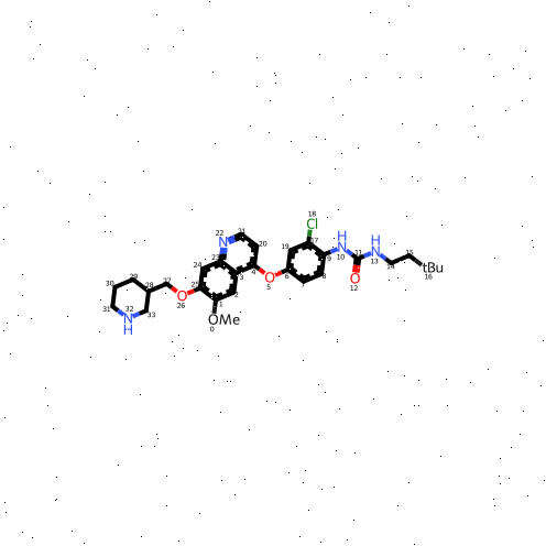 COc1cc2c(Oc3ccc(NC(=O)NCCC(C)(C)C)c(Cl)c3)ccnc2cc1OCC1CCCNC1